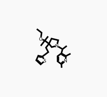 CCOC(C)(C)C1(CCc2cccs2)CCN(C(C)c2ccc(C)nc2C)C1